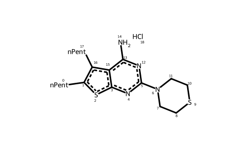 CCCCCc1sc2nc(N3CCSCC3)nc(N)c2c1CCCCC.Cl